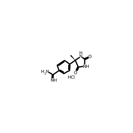 C[C@@]1(c2ccc(C(=N)N)cc2)NC(=O)NC1=O.Cl